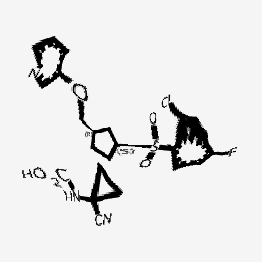 N#CC1(NC(=O)O)CC1.O=S(=O)(c1ccc(F)cc1Cl)[C@H]1CC[C@@H](COc2cccnc2)C1